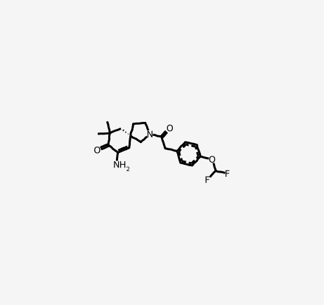 CC1(C)C[C@]2(C=C(N)C1=O)CCN(C(=O)Cc1ccc(OC(F)F)cc1)C2